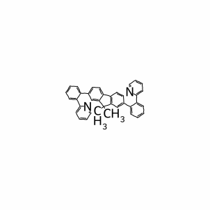 CC1(C)c2cc(-c3ccccc3-c3ccccn3)ccc2-c2ccc(-c3ccccc3-c3ccccn3)cc21